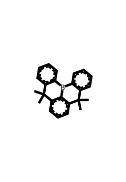 CC1(C)c2ccccc2B2c3ccccc3C(C)(C)c3cccc1c32